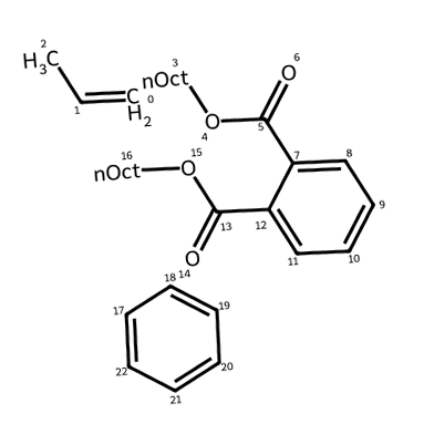 C=CC.CCCCCCCCOC(=O)c1ccccc1C(=O)OCCCCCCCC.c1ccccc1